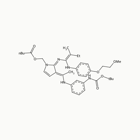 CCCCC(=O)OCN1C=CC(=C(/C)Nc2cccc(NC(=O)OC(C)(C)C)c2)/C1=N\C(Nc1ccc(OCCOC)cc1)=C(/C)CC